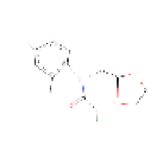 CCc1cc(F)ccc1N(CC1OCCO1)C(=O)CCl